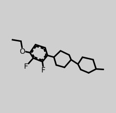 CCOc1ccc(C2CCC(C3CCC(C)CC3)CC2)c(F)c1F